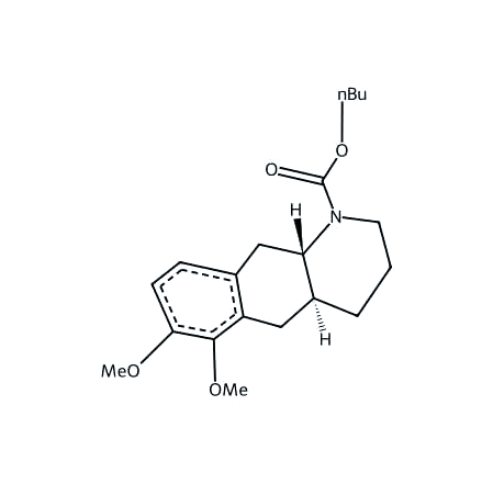 CCCCOC(=O)N1CCC[C@H]2Cc3c(ccc(OC)c3OC)C[C@@H]21